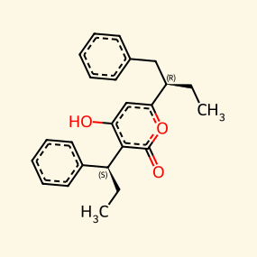 CC[C@H](Cc1ccccc1)c1cc(O)c([C@@H](CC)c2ccccc2)c(=O)o1